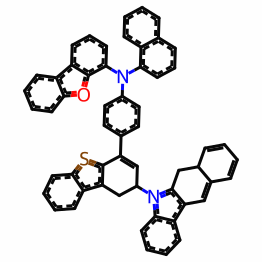 C1=CC2=Cc3c(n(C4C=C(c5ccc(N(c6cccc7ccccc67)c6cccc7c6oc6ccccc67)cc5)c5sc6ccccc6c5C4)c4ccccc34)CC2C=C1